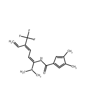 C=C/C(=C\C=C(/NC(=O)C1=C=C(C)C(C)=C1)N(C)C)C(F)(F)F